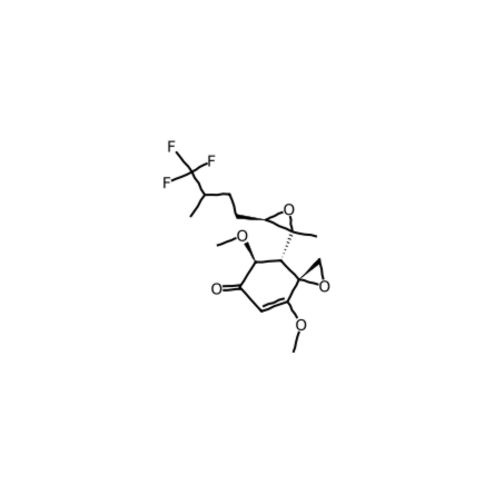 COC1=CC(=O)[C@@H](OC)[C@H](C2(C)O[C@@H]2CCC(C)C(F)(F)F)[C@@]12CO2